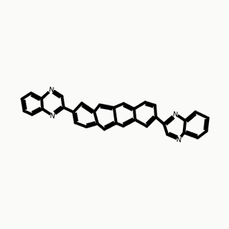 c1ccc2nc(-c3ccc4cc5cc6cc(-c7cnc8ccccc8n7)ccc6cc5cc4c3)cnc2c1